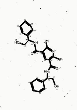 CC(C)c1nc(C(C)C)c(C(=O)N[C@@H](CO)c2ccccc2)cc1C(=O)N[C@@H](CO)c1ccccc1